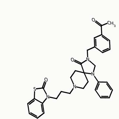 CC(=O)c1cccc(CN2CN(c3ccccc3)C3(CCN(CCCn4c(=O)sc5ccccc54)CC3)C2=O)c1